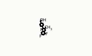 Cc1cc2c(F)cc(F)cc2nc1-c1ccc(CO)cc1